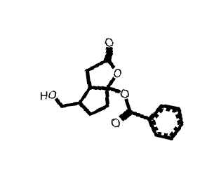 O=C1CC2C(CO)CCC2(OC(=O)c2ccccc2)O1